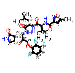 Cc1cc(C(=O)N[C@H](C(=O)N[C@@H](CC(C)C)C(=O)N[C@@H](C[C@@H]2CCNC2=O)C(=O)COc2c(F)c(F)cc(F)c2F)C(C)C)no1